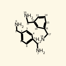 NCc1ccc(CN)cc1.NCc1cccc(CN)c1